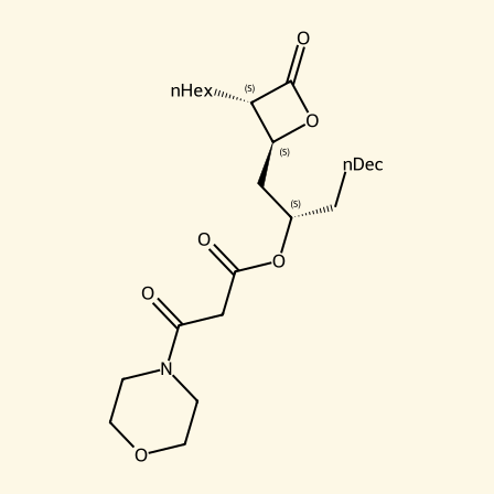 CCCCCCCCCCC[C@@H](C[C@@H]1OC(=O)[C@H]1CCCCCC)OC(=O)CC(=O)N1CCOCC1